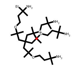 CCC(C)(N)CCOC(C)(C)CC(CC(C)(C)OCCC(C)(C)N)(CC(C)(C)OCCC(C)(C)N)CC(C)(C)OCC(C)(C)N